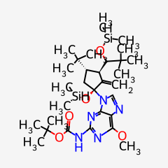 C=C1[C@H](C(O[SiH](C)C)C(C)(C)C)[C@@H](C(C)(C)C)C[C@@]1(O[SiH](C)C)n1cnc2c(OC)nc(NC(=O)OC(C)(C)C)nc21